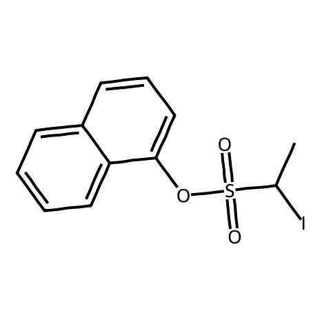 CC(I)S(=O)(=O)Oc1cccc2ccccc12